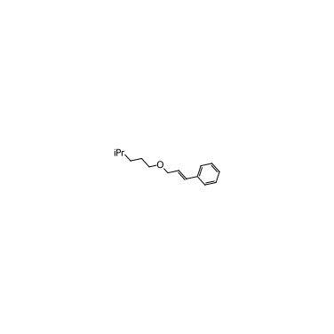 CC(C)CCCOCC=Cc1ccccc1